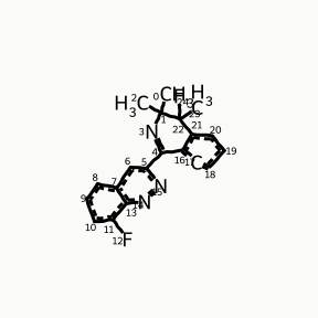 CC1(C)N=C(c2cc3cccc(F)c3nn2)c2ccccc2C1(C)F